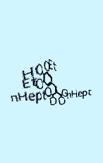 CCCCCCCOC(=O)C(=Cc1cc(OCC)c(O)c(OCC)c1)C(=O)OCCCCCCC